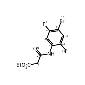 CCOC(=O)CC(=O)Nc1cc(F)c(Br)cc1F